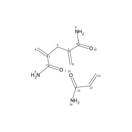 C=C(CC(=C)C(N)=O)C(N)=O.C=CC(N)=O